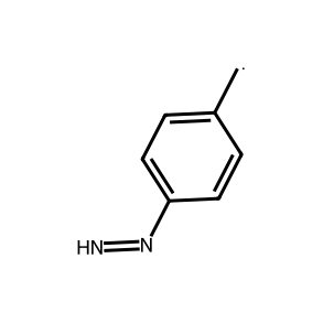 [CH2]c1ccc(N=N)cc1